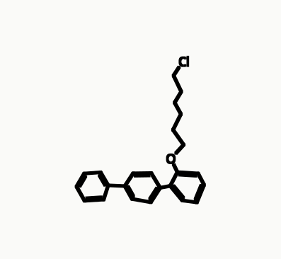 ClCCCCCCOc1ccccc1-c1ccc(-c2ccccc2)cc1